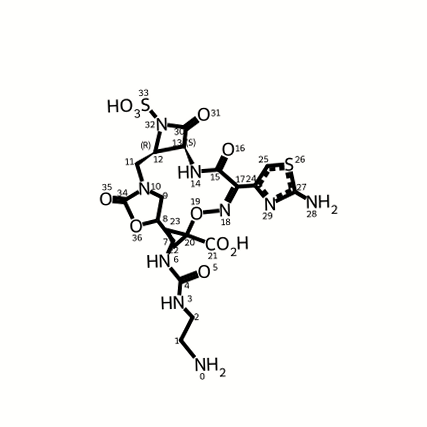 NCCNC(=O)NCC1CN(C[C@@H]2[C@H](NC(=O)C(=NOC3(C(=O)O)CC3)c3csc(N)n3)C(=O)N2S(=O)(=O)O)C(=O)O1